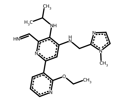 CCOc1ncccc1-c1cc(NCc2nccn2C)c(NC(C)C)c(C=N)n1